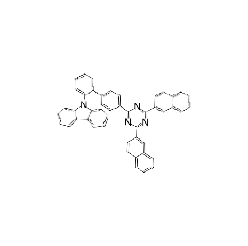 c1ccc(-n2c3ccccc3c3ccccc32)c(-c2ccc(-c3nc(-c4ccc5ccccc5c4)nc(-c4ccc5ccccc5c4)n3)cc2)c1